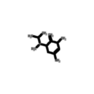 C=C1C(C)C=C(N)CC1N(C)C(C)C